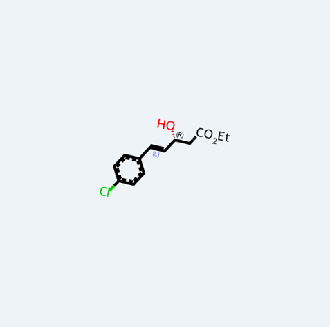 CCOC(=O)C[C@@H](O)/C=C/c1ccc(Cl)cc1